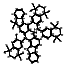 Cc1cc2c(cc1N1c3cc4c(c(-c5cc6c(cc5Nc5ccc7c(c5)C(C)(C)CCC7(C)C)C(C)(C)CCC6(C)C)c3Bc3ccc5c(sc6ccccc65)c31)-c1ccccc1C4(C)C)C(C)(C)CCC2(C)C